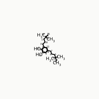 CCC(C)(C)CCCc1cc(O)c(O)c(CCCC(C)(C)I)c1